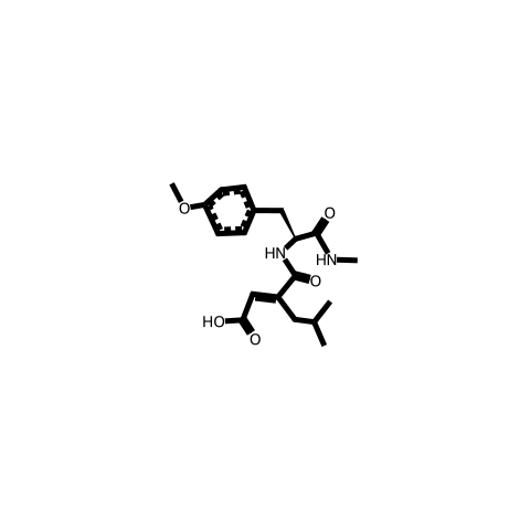 CNC(=O)[C@H](Cc1ccc(OC)cc1)NC(=O)C(=CC(=O)O)CC(C)C